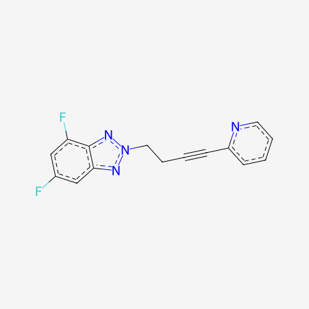 Fc1cc(F)c2nn(CCC#Cc3ccccn3)nc2c1